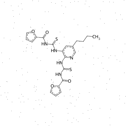 CCCCc1cnc(NC(=S)NC(=O)c2ccco2)c(NC(=S)NC(=O)c2ccco2)c1